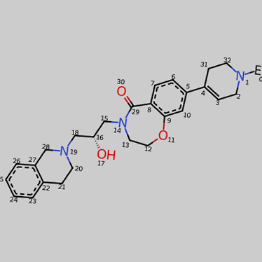 CCN1CC=C(c2ccc3c(c2)OCCN(C[C@H](O)CN2CCc4ccccc4C2)C3=O)CC1